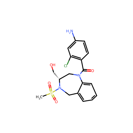 CS(=O)(=O)N1Cc2ccccc2N(C(=O)c2ccc(N)cc2Cl)C[C@H]1CO